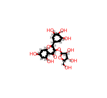 O=c1c(OC2O[C@H](CO)[C@@H](O)[C@@H]2O)c(-c2cc(O)c(O)c(O)c2)oc2cc(O)cc(O)c12